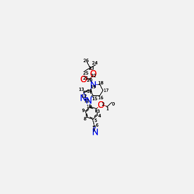 CCOc1cc(C#N)ccc1-n1ncc2c1CCCN2C(=O)OC(C)(C)C